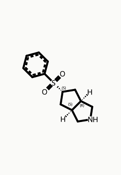 O=S(=O)(c1ccccc1)[C@@H]1C[C@H]2CNC[C@H]2C1